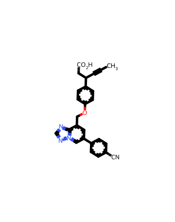 CC#CC(CC(=O)O)c1ccc(OCc2cc(-c3ccc(C#N)cc3)cn3ncnc23)cc1